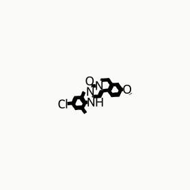 COc1ccc2c(c1)CCn1c-2cc(Nc2c(C)cc(Cl)cc2C)nc1=O